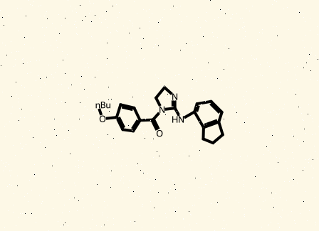 CCCCOc1ccc(C(=O)N2CCN=C2Nc2cccc3c2CCC3)cc1